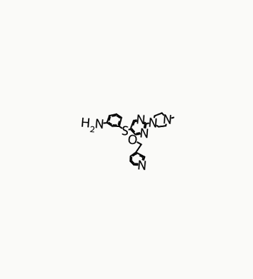 CN1CCN(c2ncc(Sc3cccc(N)c3)c(OCc3cccnc3)n2)CC1